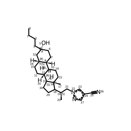 CCCC[C@@]1(O)CC[C@H]2[C@H](CC[C@@H]3[C@@H]2CC[C@]2(C)C([C@H](C)Cn4cc(C#N)cn4)CC[C@@H]32)C1